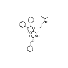 CC(=S)NCCCC[C@H](NC(=O)OCc1ccccc1)C(=O)OC(C(=O)c1ccccc1)c1ccccc1